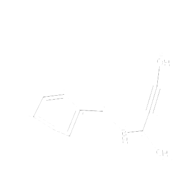 CC(BCc1ccccc1)C#CO